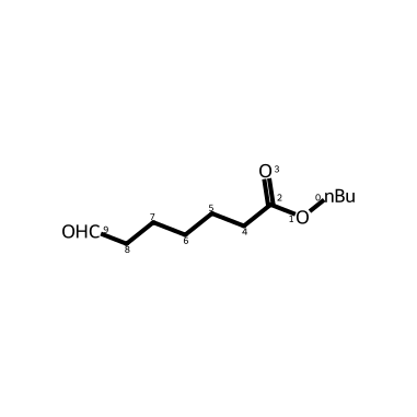 CCCCOC(=O)CCCCCC=O